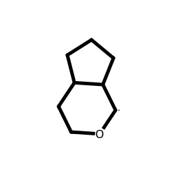 [CH]1OCCC2CCCC12